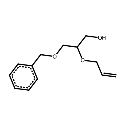 C=CCOC(CO)COCc1ccccc1